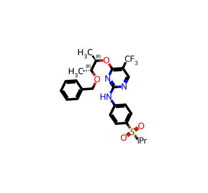 CC(C)S(=O)(=O)c1ccc(Nc2ncc(C(F)(F)F)c(O[C@H](C)[C@@H](C)OCc3ccccc3)n2)cc1